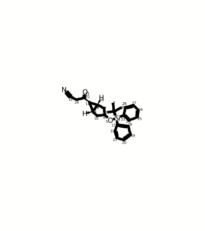 CC(C)(C)[Si](OC1C[C@@H]2[C@H](C1)[C@H]2C(=O)CC#N)(c1ccccc1)c1ccccc1